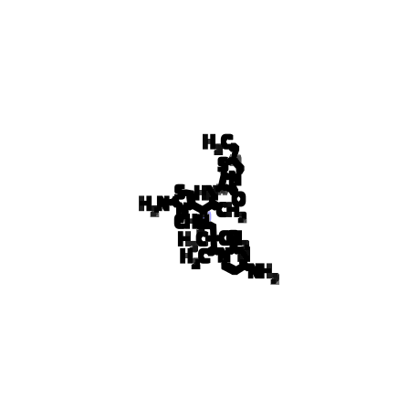 C=C[C@H]1CN2C(=O)[C@@H](NC(=C)/C(=N\CC(C)(C)C(=C)n3ccc(N)nc3=O)C3=CSC(N)N3C)C2S1